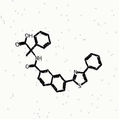 CC(NC(=O)c1ccc2ccc(-c3nc(-c4ccccc4)cs3)cc2c1)(C(=O)O)c1ccccc1